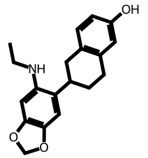 CCNc1cc2c(cc1C1CCc3cc(O)ccc3C1)OCO2